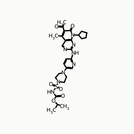 CC(=O)c1c(C)c2cnc(Nc3ccc(N4CCN(S(=O)(=O)NC(=O)OC(C)C)CC4)cn3)nc2n(C2CCCC2)c1=O